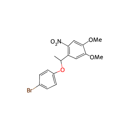 COc1cc(C(C)Oc2ccc(Br)cc2)c([N+](=O)[O-])cc1OC